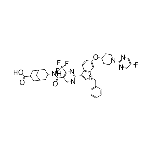 O=C(NC1CC2CC(C1)CC(C(=O)O)C2)c1cnc(-c2cn(Cc3ccccc3)c3cc(OC4CCN(c5ncc(F)cn5)CC4)ccc23)nc1C(F)(F)F